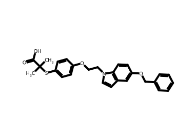 CC(C)(Sc1ccc(OCCn2ccc3cc(OCc4ccccc4)ccc32)cc1)C(=O)O